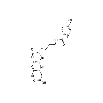 O=C(O)C[C@H](NC(=O)N[C@@H](CCCCNC(=O)N1C=CC([18F])=CN1)C(=O)O)C(=O)O